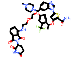 CC(Oc1cc(-n2cnc3ccc(CN4CCN(C)CC4)cc32)sc1C(N)=O)c1ccc(OCCOCCNc2cccc3c2C(=O)N(C2CCC(=O)NC2=O)C3=O)cc1C(F)(F)F